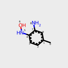 Cc1ccc(NO)c(N)c1